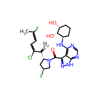 C=C(/C(Cl)=C\C=C(/C)F)[C@H]1C[C@H](F)CN1C(=O)c1n[nH]c2ncnc(N[C@@H]3CCC[C@@H](O)[C@H]3O)c12